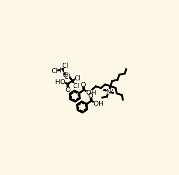 CCCCCC(CCCC)(CCCC)[N+](C)(C)CC.ClN(Cl)Cl.O=C(O)C(Cl)(Cl)Cl.O=C(O)c1ccccc1.O=C(O)c1ccccc1